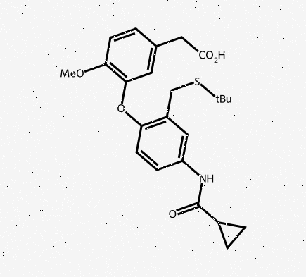 COc1ccc(CC(=O)O)cc1Oc1ccc(NC(=O)C2CC2)cc1CSC(C)(C)C